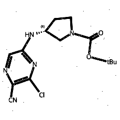 CC(C)(C)OC(=O)N1CC[C@@H](Nc2cnc(C#N)c(Cl)n2)C1